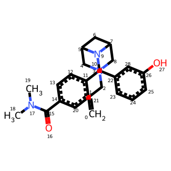 C=CCN1CC2CC(C1)N2C(c1ccc(C(=O)N(C)C)cc1)c1cccc(O)c1